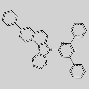 c1ccc(-c2ccc3c(ccc4c3c3ccccc3n4-c3cc(-c4ccccc4)nc(-c4ccccc4)n3)c2)cc1